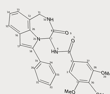 COc1cc(C(=O)NC2C(=O)NCc3cccc4cc(-c5ccccc5)n2c34)cc(OC)c1OC